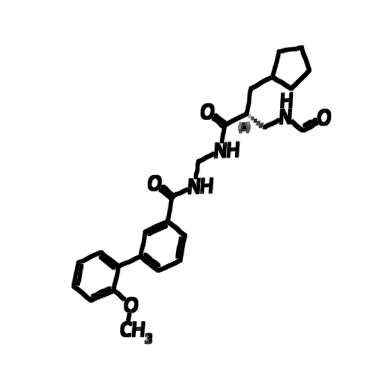 COc1ccccc1-c1cccc(C(=O)NCNC(=O)[C@@H](CNC=O)CC2CCCC2)c1